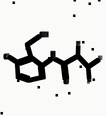 O=C(Nc1cccc(Cl)c1CO)C(F)C(F)F